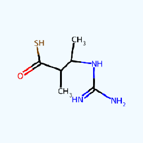 CC(NC(=N)N)C(C)C(=O)S